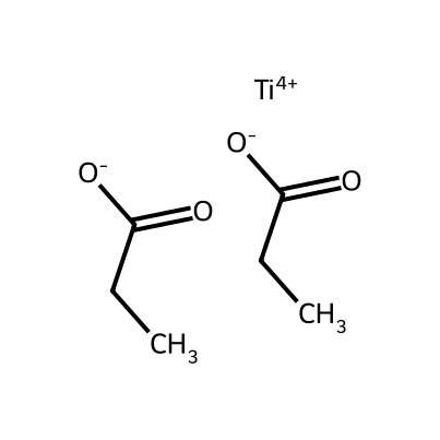 CCC(=O)[O-].CCC(=O)[O-].[Ti+4]